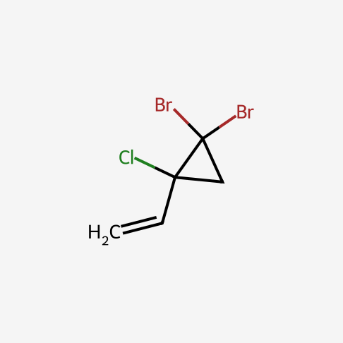 C=CC1(Cl)CC1(Br)Br